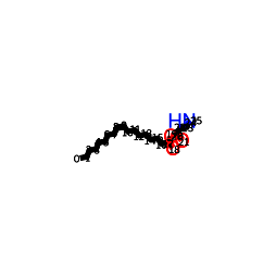 CCCCCCCC/C=C\CCCCCCCC(=O)OC(=O)CCNC